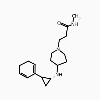 CNC(=O)CCN1CCC(N[C@@H]2CC2C2=CCCC=C2)CC1